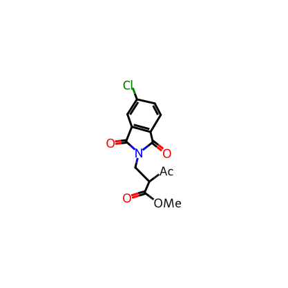 COC(=O)C(CN1C(=O)c2ccc(Cl)cc2C1=O)C(C)=O